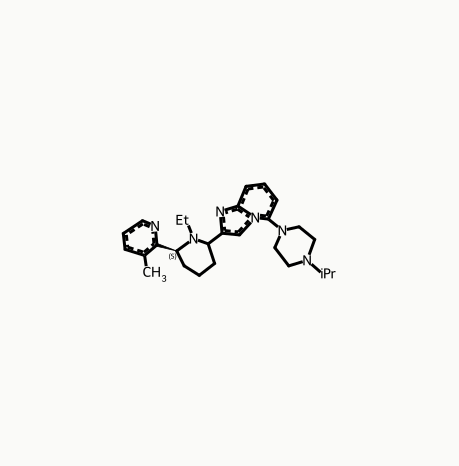 CCN1C(c2cn3c(N4CCN(C(C)C)CC4)cccc3n2)CCC[C@H]1c1ncccc1C